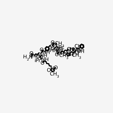 C=C(CC(OC)C([C@@H](C)CC)N(C)C(=O)[C@@H](NC(=O)C(C(C)C)N(C)C(=O)OCc1ccc(NC(=O)[C@H](CCCNC(N)=O)NC(=O)C(NC(=O)CCCCCN2C(=O)CC(C)C2=O)C(C)C)cc1)C(C)C)N1CCCC1C(OC)C(C)C(=O)NC(C)C(O)c1ccccc1